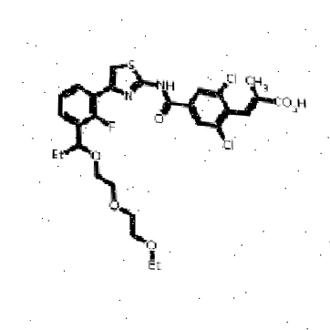 CCOCCOCCOC(CC)c1cccc(-c2csc(NC(=O)c3cc(Cl)c(C=C(C)C(=O)O)c(Cl)c3)n2)c1F